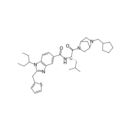 CCC(CC)n1c(Cc2cccs2)nc2cc(C(=O)N[C@@H](CC(C)C)C(=O)N3CC4CC3CN4CC3CCCC3)ccc21